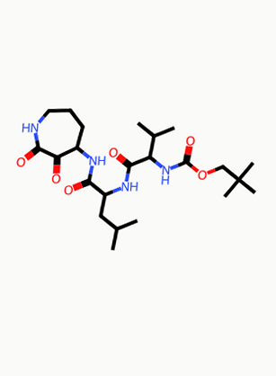 CC(C)CC(NC(=O)C(NC(=O)OCC(C)(C)C)C(C)C)C(=O)NC1CCCNC(=O)C1=O